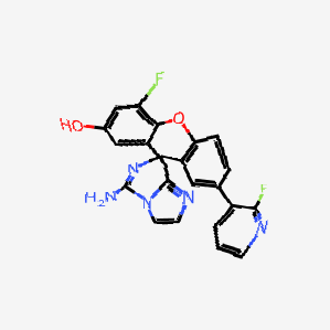 NC1=NC2(c3cc(-c4cccnc4F)ccc3Oc3c(F)cc(O)cc32)c2nccn21